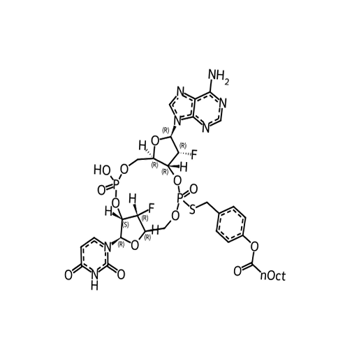 CCCCCCCCC(=O)Oc1ccc(CSP2(=O)OC[C@H]3O[C@@H](n4ccc(=O)[nH]c4=O)[C@H](OP(=O)(O)OC[C@H]4O[C@@H](n5cnc6c(N)ncnc65)[C@H](F)[C@@H]4O2)[C@@H]3F)cc1